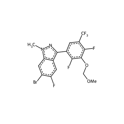 COCOc1c(F)c(-c2nn(C)c3cc(Br)c(F)cc23)cc(C(F)(F)F)c1F